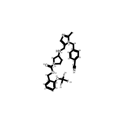 Cc1ncc(CNC2CCN(C(=O)OCc3ccccc3OC(F)(F)F)C2)n1Cc1ccc(C#N)cc1